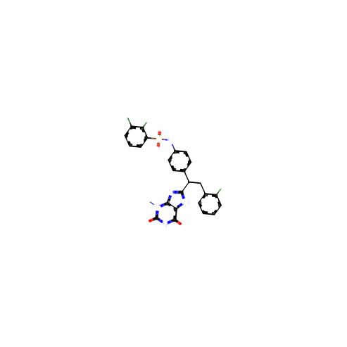 CCCCn1c(=O)[nH]c(=O)c2[nH]c(C(Cc3ccccc3F)c3ccc(NS(=O)(=O)c4cccc(Cl)c4Cl)cc3)nc21